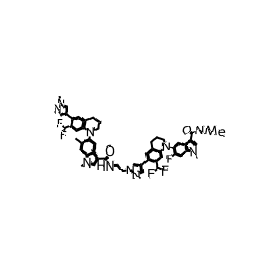 CNC(=O)c1cn(C)c2cc(F)c(N3CCCc4cc(-c5cnn(CCNC(=O)c6cn(C)c7cc(C)c(N8CCCc9cc(-c%10cnn(C)c%10)c(C(F)F)cc98)cc67)c5)c(C(F)F)cc43)cc12